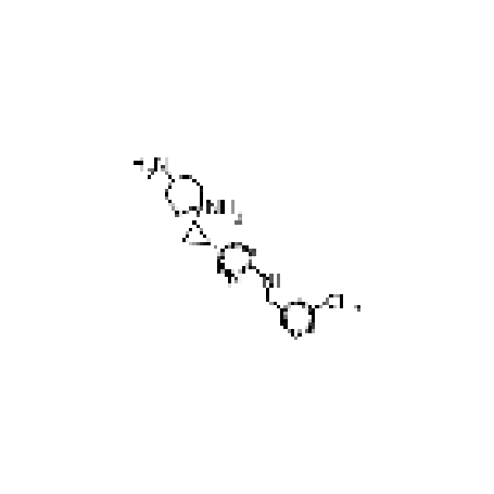 Cc1cccc(CNc2ccc([C@@H]3C[C@H]3C3(N)CCC(N)CC3)cn2)c1